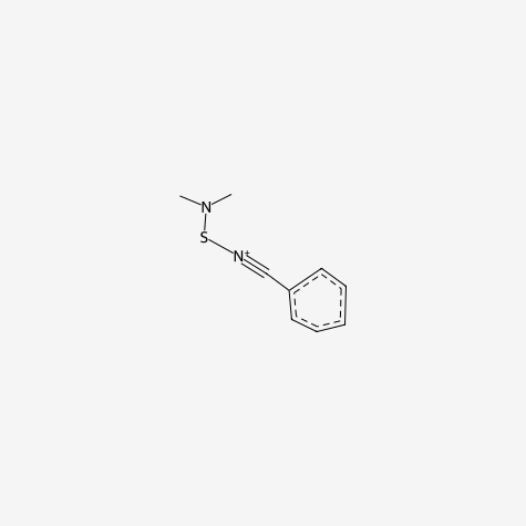 CN(C)S[N+]#Cc1ccccc1